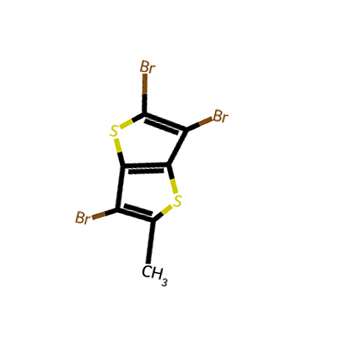 Cc1sc2c(Br)c(Br)sc2c1Br